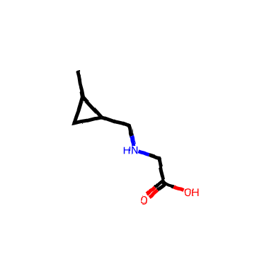 CC1CC1CNCC(=O)O